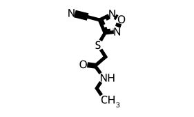 CCNC(=O)CSc1nonc1C#N